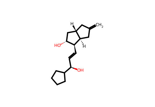 C=C1C[C@H]2C[C@@H](O)[C@H](C=C[C@@H](O)C3CCCC3)[C@@H]2C1